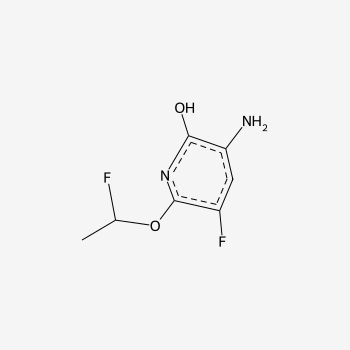 CC(F)Oc1nc(O)c(N)cc1F